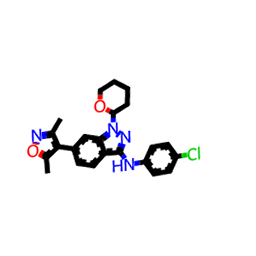 Cc1noc(C)c1-c1ccc2c(Nc3ccc(Cl)cc3)nn(C3CCCCO3)c2c1